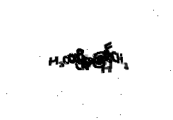 Cc1ccc2c(c1)c(C#N)c(-c1ncc(S(=O)(=O)N[C@@H](C)CF)cn1)n2C1CCCC1